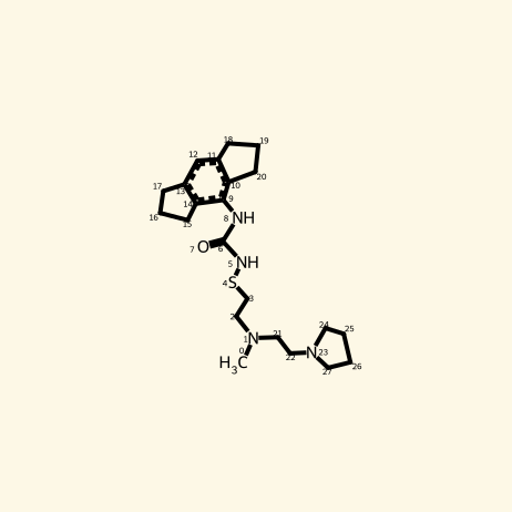 CN(CCSNC(=O)Nc1c2c(cc3c1CCC3)CCC2)CCN1CCCC1